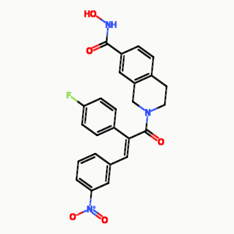 O=C(NO)c1ccc2c(c1)CN(C(=O)C(=Cc1cccc([N+](=O)[O-])c1)c1ccc(F)cc1)CC2